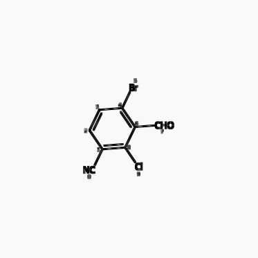 N#Cc1ccc(Br)c(C=O)c1Cl